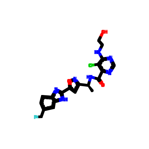 C[C@H](NC(=O)c1ncnc(NCCO)c1Cl)c1cc(-c2nc3ccc(CF)cc3[nH]2)on1